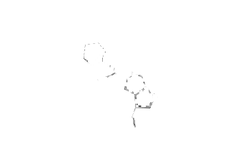 C=Cc1coc2cnc(C(=O)NC3CC4CCN3C4)cc12